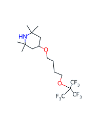 CC1(C)CC(OCCCCOC(C(F)(F)F)(C(F)(F)F)C(F)(F)F)CC(C)(C)N1